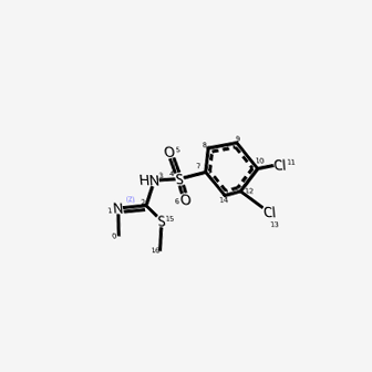 C/N=C(/NS(=O)(=O)c1ccc(Cl)c(Cl)c1)SC